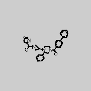 O=C(c1ccc(-c2ccccc2)cc1)N1CCN(C2CN(C(=O)c3cscn3)C2)C(c2ccccc2)C1